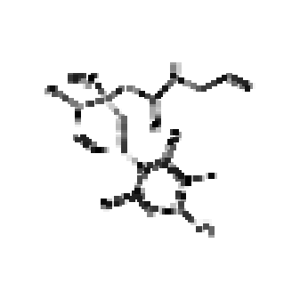 C=CCNC(=O)CC1(C(=O)O)C=C(n2c(=O)cc(C(F)(F)F)n(C)c2=O)C=CC1Cl